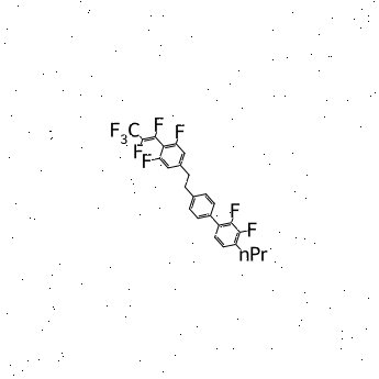 CCCc1ccc(-c2ccc(CCc3cc(F)c(/C(F)=C(\F)C(F)(F)F)c(F)c3)cc2)c(F)c1F